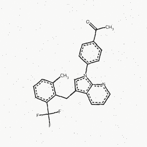 CC(=O)c1ccc(-n2cc(Cc3c(C)cccc3C(F)(F)F)c3cccnc32)cc1